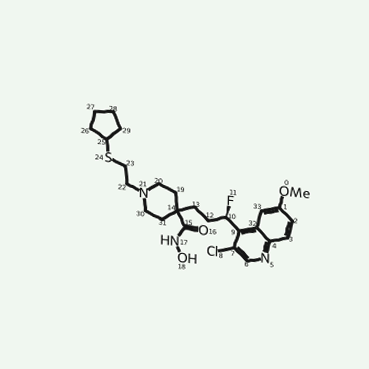 COc1ccc2ncc(Cl)c([C@H](F)CCC3(C(=O)NO)CCN(CCSC4CCCC4)CC3)c2c1